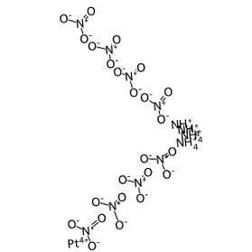 O=[N+]([O-])[O-].O=[N+]([O-])[O-].O=[N+]([O-])[O-].O=[N+]([O-])[O-].O=[N+]([O-])[O-].O=[N+]([O-])[O-].O=[N+]([O-])[O-].O=[N+]([O-])[O-].[NH4+].[NH4+].[NH4+].[NH4+].[Pt+4]